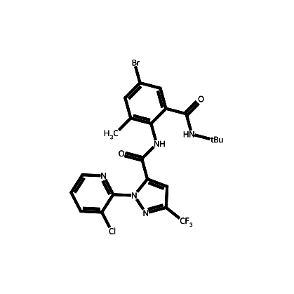 Cc1cc(Br)cc(C(=O)NC(C)(C)C)c1NC(=O)c1cc(C(F)(F)F)nn1-c1ncccc1Cl